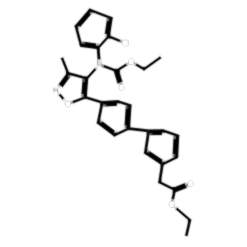 CCOC(=O)Cc1cccc(-c2ccc(-c3onc(C)c3N(C(=O)OCC)c3ccccc3Cl)cc2)c1